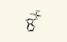 O=P(O)(O)On1cnc2cncnc21